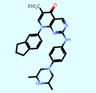 CCOC(=O)c1cn(-c2ccc3c(c2)CCC3)c2nc(Nc3ccc(N4CC(C)NC(C)C4)cc3)ncc2c1=O